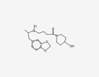 CCN(CCCC(=O)N1CCC(O)CC1)C(C)Cc1ccc2c(c1)OCO2